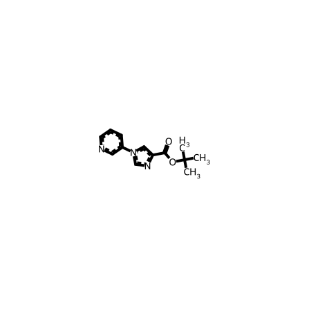 CC(C)(C)OC(=O)c1cn(-c2cccnc2)cn1